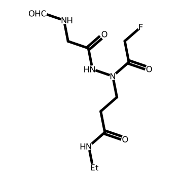 CCNC(=O)CCN(NC(=O)CNC=O)C(=O)CF